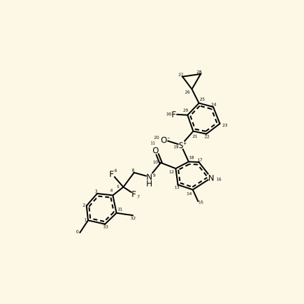 Cc1ccc(C(F)(F)CNC(=O)c2cc(C)ncc2[S+]([O-])c2cccc(C3CC3)c2F)c(C)c1